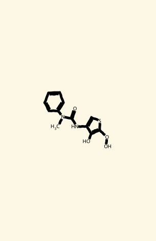 CN(C(=O)Nc1csc(OO)c1O)c1ccccc1